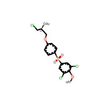 [CH2][CH]COc1c(Cl)cc(S(=O)(=O)c2ccc(OC[C@@H](CCl)OC(C)=O)cc2)cc1Cl